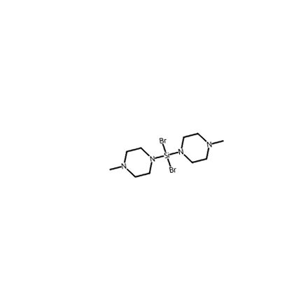 CN1CCN([Si](Br)(Br)N2CCN(C)CC2)CC1